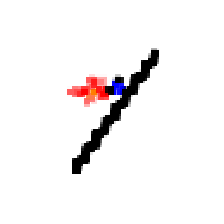 CCCCCCCCCCCC(CCCCCC)N(C)C.O=P(O)(O)O